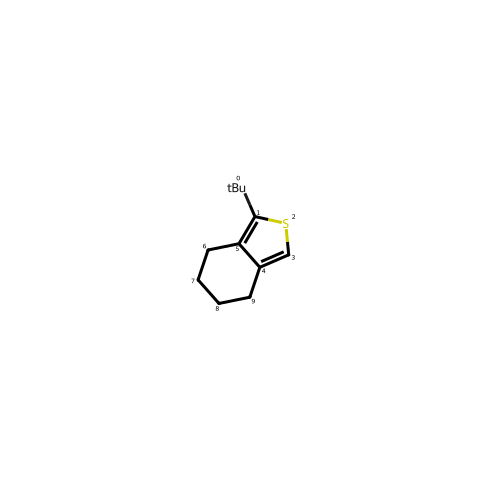 CC(C)(C)c1scc2c1CCCC2